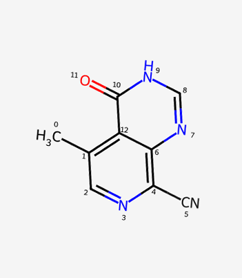 Cc1cnc(C#N)c2nc[nH]c(=O)c12